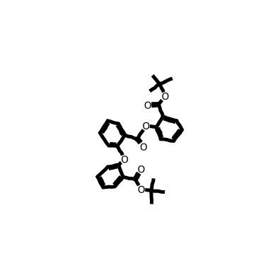 CC(C)(C)OC(=O)c1ccccc1OC(=O)c1ccccc1Oc1ccccc1C(=O)OC(C)(C)C